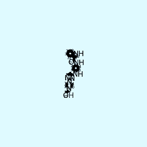 O=C(Nc1ccc(Nc2ccnc(N3CCN(CCO)CC3)n2)cc1)c1c[nH]c2ccccc12